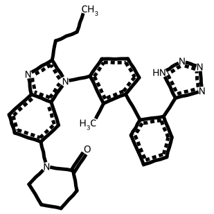 CCCc1nc2ccc(N3CCCCC3=O)cc2n1-c1cccc(-c2ccccc2-c2nnn[nH]2)c1C